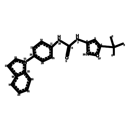 CC(C)(C)c1cc(NC(=O)Nc2ccc(-n3ccc4ccccc43)cc2)no1